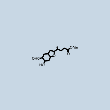 COC(=O)CCC(I)C1CC2CC(C=O)C(O)CC2O1